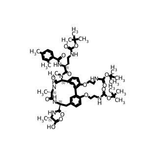 Cc1ccc(C(=O)N[C@@H](CCNC(=O)OC(C)(C)C)C(=O)N(C)[C@@H]2C(=O)N[C@@H](C)C(=O)N[C@H](C(=O)N[C@@H](C)C(=O)O)Cc3ccc(OCCNC(=O)OC(C)(C)C)c(c3)-c3cc2ccc3OCCNC(=O)OC(C)(C)C)c(C)c1